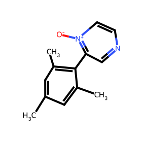 Cc1cc(C)c(-c2cncc[n+]2[O-])c(C)c1